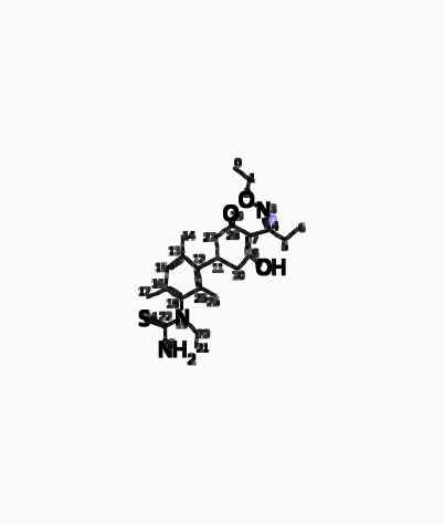 CCO/N=C(/CC)C1=C(O)CC(c2c(C)cc(C)c(N(CC)C(N)=S)c2C)CC1=O